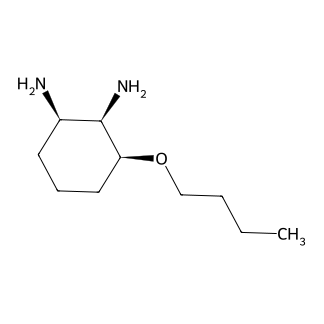 CCCCO[C@H]1CCC[C@@H](N)[C@H]1N